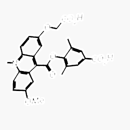 COc1ccc2c(c1)c(C(=O)Oc1c(C)cc(C(=O)O)cc1C)c1cc(OCC(=O)O)ccc1[n+]2C